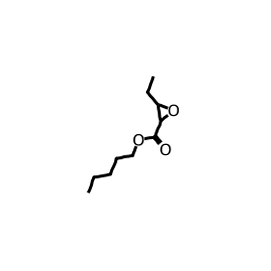 CCCCCOC(=O)C1OC1CC